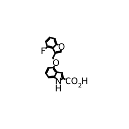 O=C(O)c1cc2c(OCc3coc4cccc(F)c34)cccc2[nH]1